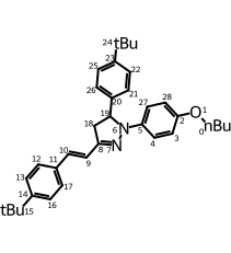 CCCCOc1ccc(N2N=C(C=Cc3ccc(C(C)(C)C)cc3)CC2c2ccc(C(C)(C)C)cc2)cc1